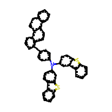 c1ccc2c(c1)ccc1c3cccc(-c4ccc(N(c5ccc6c(c5)sc5ccccc56)c5ccc6sc7ccccc7c6c5)cc4)c3ccc21